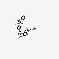 N#Cc1cnc2c(cnn2CCO)c1NCCc1ccc(NC(=O)Nc2ccccc2)cc1